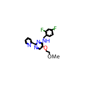 COCCOc1cnc(-c2ccccn2)nc1NCc1ccc(F)cc1F